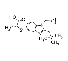 CC(Sc1ccc2c(c1)nc(CC(C)(C)C)n2CC1CC1)C(=O)O